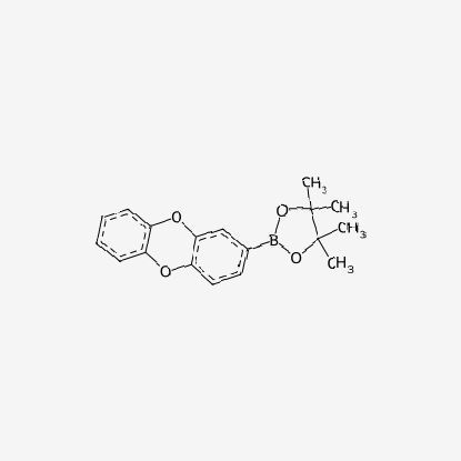 CC1(C)OB(c2ccc3c(c2)Oc2ccccc2O3)OC1(C)C